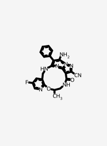 CC1CNC(=O)c2c(C#N)nn3c(N)c(-c4ccccc4)c(nc23)NCc2cc(F)cnc2O1